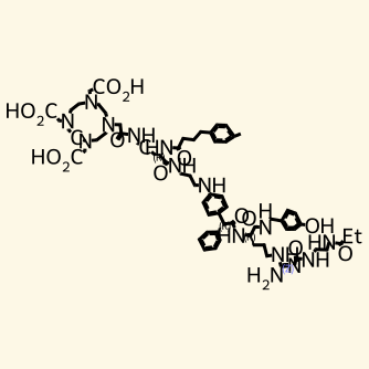 CCC(=O)NCCNC(=O)/N=C(/N)NCCC[C@@H](NC(=O)[C@H](c1ccccc1)c1ccc(NCCCNC(=O)[C@@H](CCCNC(=O)CN2CCN(CC(=O)O)CCN(CC(=O)O)CCN(CC(=O)O)CC2)NC(=O)CCCc2ccc(C)cc2)cc1)C(=O)NCc1ccc(O)cc1